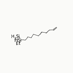 C=CCCCCCCCC[SiH]([SiH3])CC